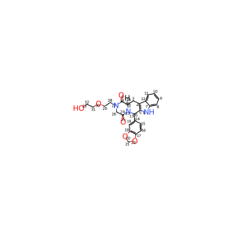 O=C1[C@H]2Cc3c([nH]c4ccccc34)[C@@H](c3ccc4c(c3)OCO4)N2C(=O)CN1CCOCCO